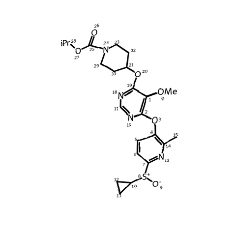 COc1c(Oc2ccc([S+]([O-])C3CC3)nc2C)ncnc1OC1CCN(C(=O)OC(C)C)CC1